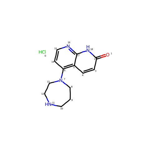 Cl.O=c1ccc2c(N3CCCNCC3)ccnc2[nH]1